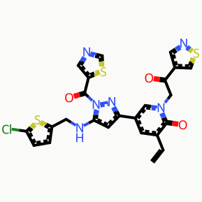 C=Cc1cc(-c2cc(NCc3ccc(Cl)s3)n(C(=O)c3cncs3)n2)cn(CC(=O)c2cnsc2)c1=O